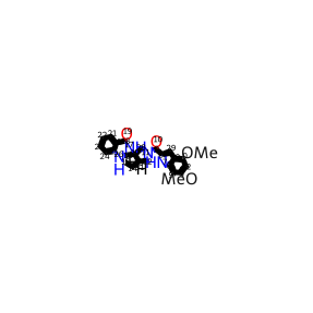 COc1ccc(OC)c2[nH]c(C(=O)N3C[C@H]4CC[C@]5(NC(=O)c6ccccc6N5)[C@H]4C3)cc12